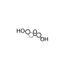 Oc1ccc2c(c1)CCc1c-2oc2ccc(O)cc12